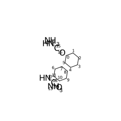 C1CCCCC1.C1CCCCC1.N.N.N=C=O.N=C=O